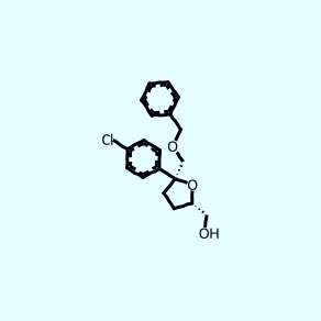 OC[C@@H]1CC[C@@](COCc2ccccc2)(c2ccc(Cl)cc2)O1